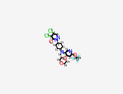 O=c1c(Cl)c(Cl)cnn1[C@H]1CC[C@H](N(C[C@H]2COCCO2)c2ccc(OC(F)(F)F)nc2)CC1